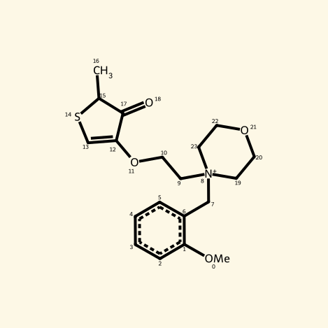 COc1ccccc1C[N+]1(CCOC2=CSC(C)C2=O)CCOCC1